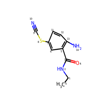 CCNC(=O)c1cc(SC#N)ccc1N